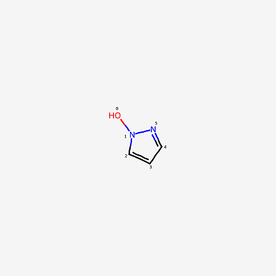 On1cccn1